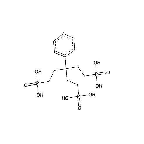 O=P(O)(O)CCC(CCP(=O)(O)O)(CCP(=O)(O)O)c1cc[c]cc1